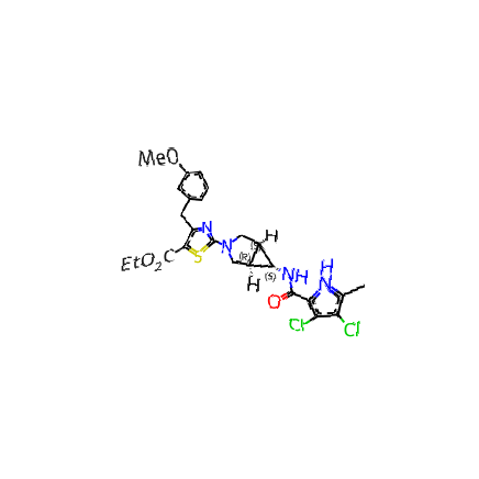 CCOC(=O)c1sc(N2C[C@@H]3[C@H](C2)[C@H]3NC(=O)c2[nH]c(C)c(Cl)c2Cl)nc1Cc1cccc(OC)c1